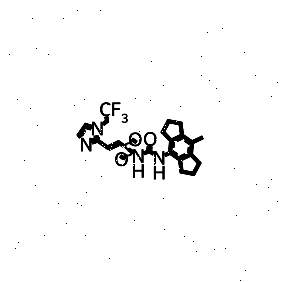 Cc1c2c(c(NC(=O)NS(=O)(=O)/C=C/c3nccn3CC(F)(F)F)c3c1CCC3)CCC2